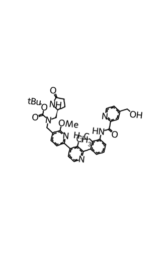 COc1nc(-c2ccnc(-c3cccc(NC(=O)c4cc(CO)ccn4)c3C)c2C)ccc1CN(C[C@@H]1CCC(=O)N1)C(=O)OC(C)(C)C